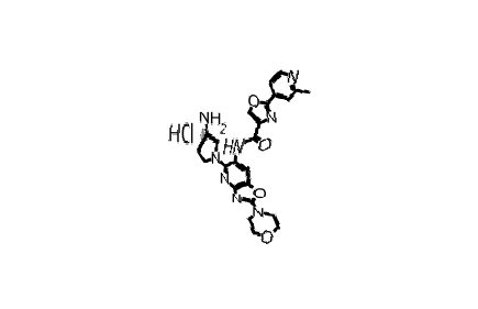 Cc1cc(-c2nc(C(=O)Nc3cc4oc(N5CCOCC5)nc4nc3N3CC[C@@H](N)C3)co2)ccn1.Cl